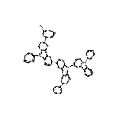 CC(C)c1cccc(-c2ccc3c(c2)c2cc(-c4ccc5c(c4)c4cc(-c6ccccc6)ccc4n5-c4ccc5c(c4)c4ccccc4n5-c4ccccc4)ccc2n3-c2ccccc2)c1